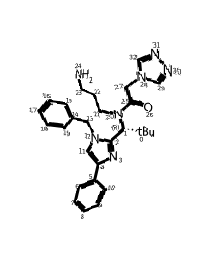 CC(C)(C)[C@H](c1nc(-c2ccccc2)cn1Cc1ccccc1)N(CCCN)C(=O)Cn1cnnc1